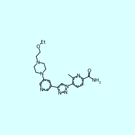 CCOCCN1CCN(c2cncc(-c3cn(-c4c[c]c(C(N)=O)nc4C)nn3)c2)CC1